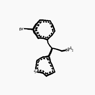 NC(c1ccsc1)c1cccc(Br)c1